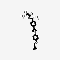 CC(C(=O)N[C@@H](C)c1ccc(C2CN(c3ccc(OCC4CC4)cc3)C2)cc1)C(F)(F)F